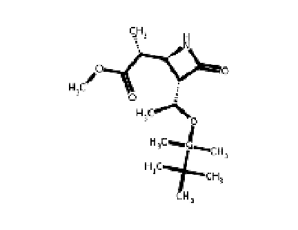 COC(=O)[C@H](C)[C@H]1NC(=O)[C@@H]1C(C)O[Si](C)(C)C(C)(C)C